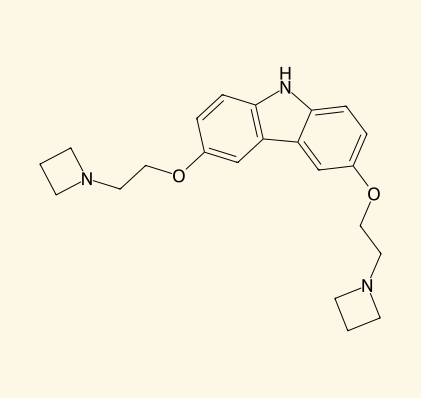 c1cc2[nH]c3ccc(OCCN4CCC4)cc3c2cc1OCCN1CCC1